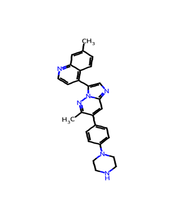 Cc1ccc2c(-c3cnc4cc(-c5ccc(N6CCNCC6)cc5)c(C)nn34)ccnc2c1